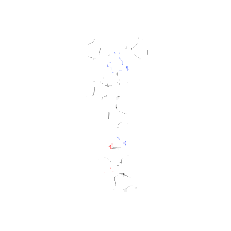 c1ccc(-c2nc(-c3ccccc3)nc(-c3ccc(-c4ccc(-c5nc6cc7c(cc6o5)oc5ccccc57)cc4)c4ccccc34)n2)cc1